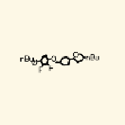 CCCCOc1ccc(OCC2CCC(C3CCC(CCCC)CO3)CC2)c(F)c1F